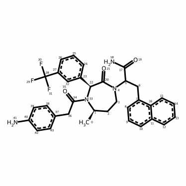 C[C@@H]1CCN(C(Cc2cccc3ccccc23)C(N)=O)C(=O)[C@H](c2cccc(C(F)(F)F)c2)N1C(=O)Cc1ccc(N)cc1